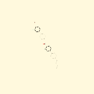 CCCCCC1CCC(c2ccc(C(=O)OC3CCC(c4ccc(OC)c(F)c4)CC3)c(F)c2F)CC1